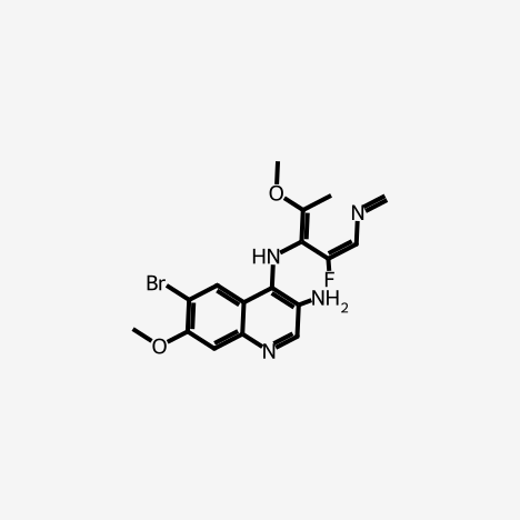 C=N/C=C(F)\C(Nc1c(N)cnc2cc(OC)c(Br)cc12)=C(/C)OC